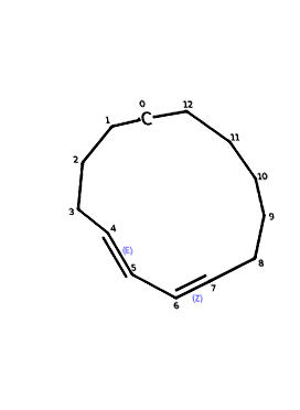 [CH]1CCC/C=C/C=C\CCCCC1